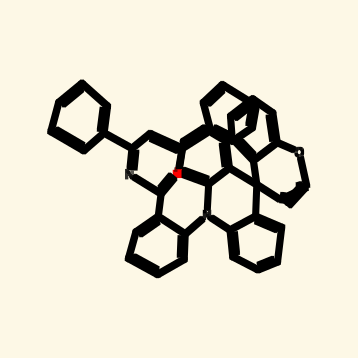 c1ccc(-c2cc(-c3ccccc3)nc(-c3ccccc3N3c4ccccc4C4(c5ccccc5Oc5ccccc54)c4ccccc43)n2)cc1